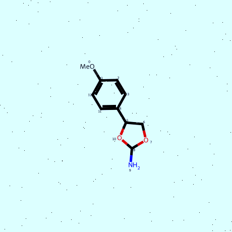 COc1ccc(C2COC(N)O2)cc1